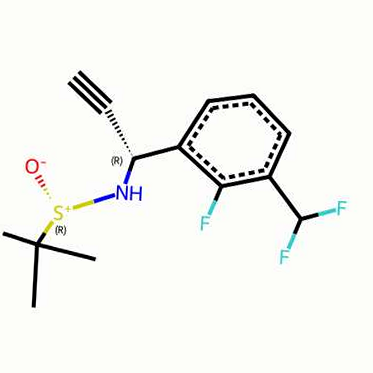 C#C[C@@H](N[S@@+]([O-])C(C)(C)C)c1cccc(C(F)F)c1F